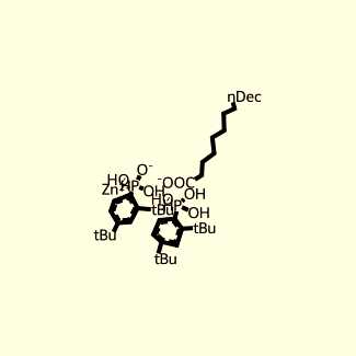 CC(C)(C)c1ccc([PH](O)(O)O)c(C(C)(C)C)c1.CC(C)(C)c1ccc([PH]([O-])(O)O)c(C(C)(C)C)c1.CCCCCCCCCCCCCCCCCC(=O)[O-].[Zn+2]